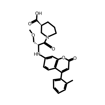 COC[C@@H](Nc1ccc2c(-c3ccccc3C)cc(=O)oc2c1)C(=O)N1CCC[C@H](C(=O)O)C1